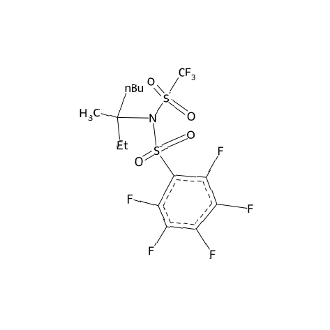 CCCCC(C)(CC)N(S(=O)(=O)c1c(F)c(F)c(F)c(F)c1F)S(=O)(=O)C(F)(F)F